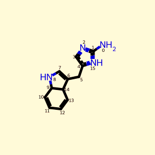 Nc1ncc(CC2=CNC3C=CC=CC23)[nH]1